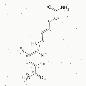 NC(=O)OCC=CCNc1ncc(C(N)=O)cc1N